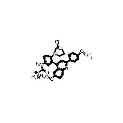 COc1ccc(-c2cc(-c3cc(NC(=O)NN)ccc3N(CCCl)CCCl)c3cc(OC)ccc3n2)cc1